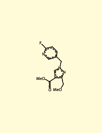 COCc1nn(Cc2ccc(F)nc2)cc1C(=O)OC